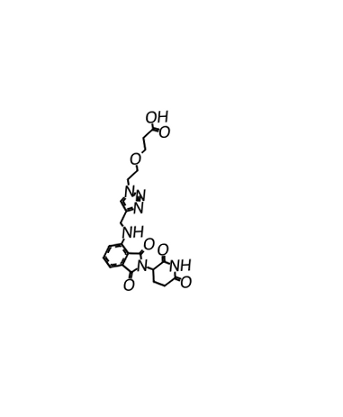 O=C(O)CCOCCn1cc(CNc2cccc3c2C(=O)N(C2CCC(=O)NC2=O)C3=O)nn1